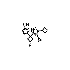 N#Cc1ccc([C@]2(c3nnc(C4CCC4)n3C3CC3)C[C@H](F)C2)s1